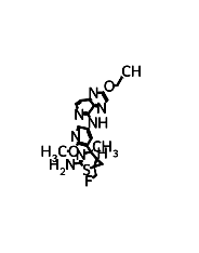 C#CCOc1cnc2c(Nc3cnc(OC)c([C@]4(C)N=C(N)S[C@@]5(CF)C[C@H]54)c3)nccc2n1